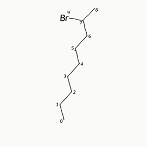 CCCCC[CH]CC(C)Br